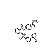 CC(C)(C)OC(=O)N1CCC(NC(=O)c2ccccc2NC(=O)c2cccc(N3CCCC3=O)c2)CC1